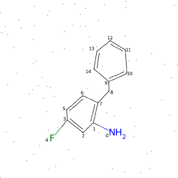 Nc1cc(F)ccc1Cc1ccccc1